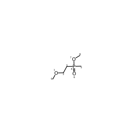 COCCP(C)(=O)OC